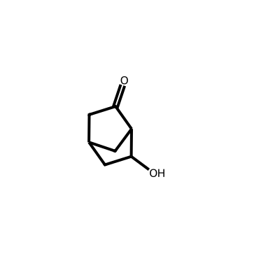 O=C1CC2CC(O)C1C2